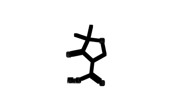 COC(=O)C1COC(C)(C)C1=O